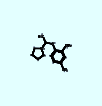 COc1cc([N+](=O)[O-])ccc1OC(C=O)N1CCCC1